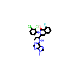 CCC(Nc1ncnc2[nH]cnc12)c1cc2cccc(F)c2c(=O)n1-c1cccc(Cl)c1Cl